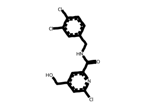 O=C(NCc1ccc(Cl)c(Cl)c1)c1cc(CO)cc(Cl)n1